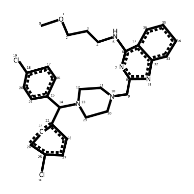 COCCCNc1nc(CN2CCN(C(c3ccc(Cl)cc3)c3ccc(Cl)cc3)CC2)nc2ccccc12